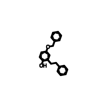 Oc1ccc(OCc2ccccc2)cc1CCc1ccccc1